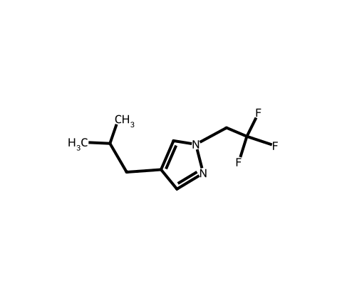 CC(C)Cc1cnn(CC(F)(F)F)c1